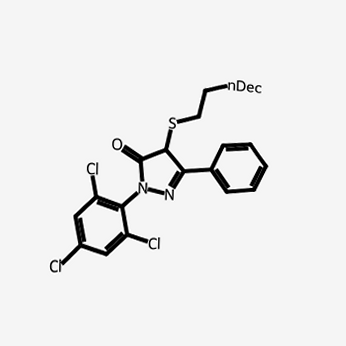 CCCCCCCCCCCCSC1C(=O)N(c2c(Cl)cc(Cl)cc2Cl)N=C1c1ccccc1